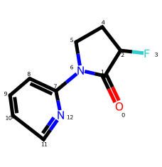 O=C1C(F)CCN1c1cc[c]cn1